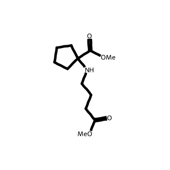 COC(=O)CCCNC1(C(=O)OC)CCCC1